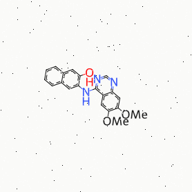 COc1cc2ncnc(Nc3cc4ccccc4cc3O)c2cc1OC